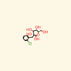 OC[C@H]1O[C](O)[C@@](O)(Cc2ccccc2Cl)[C@@H](O)[C@@H]1O